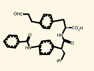 CC(C)C[C@H](C(=O)N[C@@H](Cc1ccc(CCC=O)cc1)C(=O)O)c1ccc(NC(=O)c2ccccc2)cc1